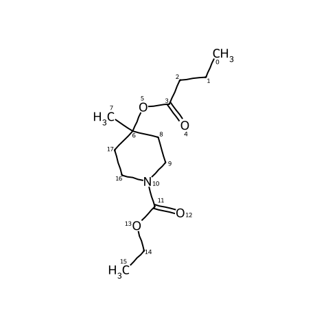 CCCC(=O)OC1(C)CCN(C(=O)OCC)CC1